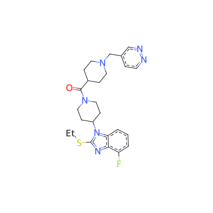 CCSc1nc2c(F)cccc2n1C1CCN(C(=O)C2CCN(Cc3ccnnc3)CC2)CC1